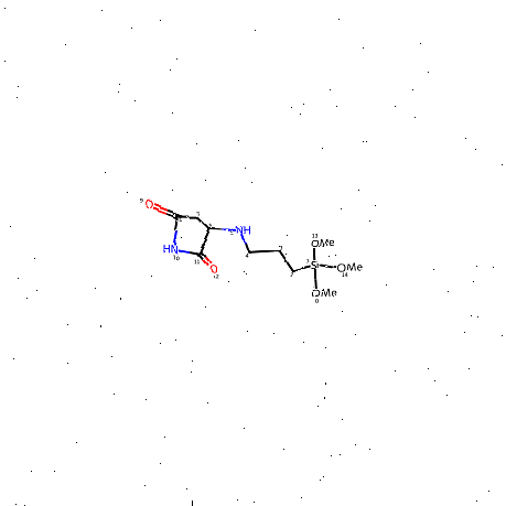 CO[Si](CCCNC1CC(=O)NC1=O)(OC)OC